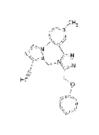 C#Cc1ncn2c1Cn1c(COc3ccccc3)nnc1-c1cc(C)ccc1-2